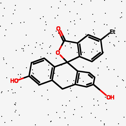 CCc1ccc2c(c1)C(=O)OC21c2ccc(O)cc2Cc2cc(O)ccc21